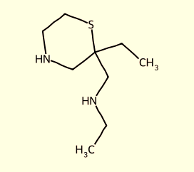 CCNCC1(CC)CNCCS1